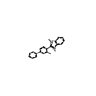 Cc1cc(-c2ccccc2)ccc1-c1n(C)c2ccccc2[n+]1C